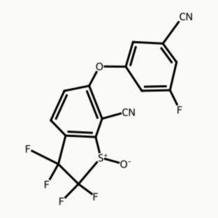 N#Cc1cc(F)cc(Oc2ccc3c(c2C#N)[S+]([O-])C(F)(F)C3(F)F)c1